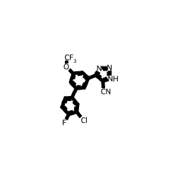 N#Cc1[nH]nnc1-c1cc(OC(F)(F)F)cc(-c2ccc(F)c(Cl)c2)c1